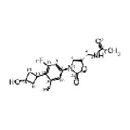 CC(=O)NC[C@H]1CN(c2cc(F)c(C3CC(O)C3)c(F)c2)C(=O)O1